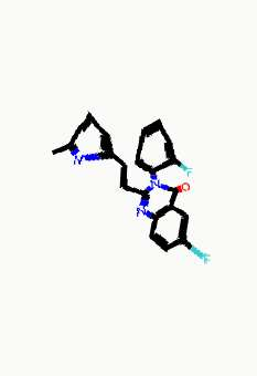 Cc1cccc(C=Cc2nc3ccc(F)cc3c(=O)n2-c2ccccc2F)n1